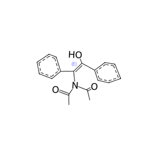 CC(=O)N(C(C)=O)/C(=C(/O)c1ccccc1)c1ccccc1